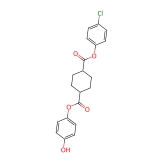 O=C(Oc1ccc(O)cc1)C1CCC(C(=O)Oc2ccc(Cl)cc2)CC1